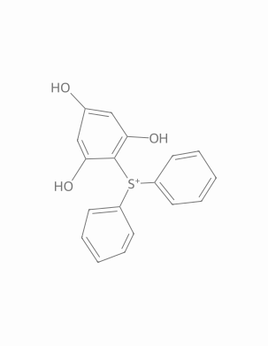 Oc1cc(O)c([S+](c2ccccc2)c2ccccc2)c(O)c1